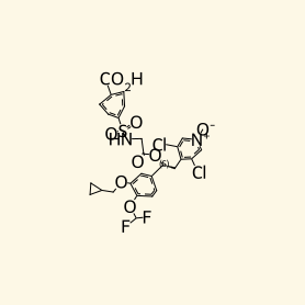 O=C(CNS(=O)(=O)c1ccc(C(=O)O)cc1)O[C@@H](Cc1c(Cl)c[n+]([O-])cc1Cl)c1ccc(OC(F)F)c(OCC2CC2)c1